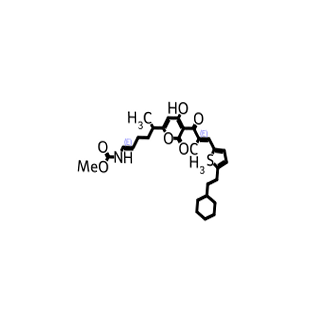 COC(=O)N/C=C/CCC(C)c1cc(O)c(C(=O)/C(C)=C/c2ccc(CCC3CCCCC3)s2)c(=O)o1